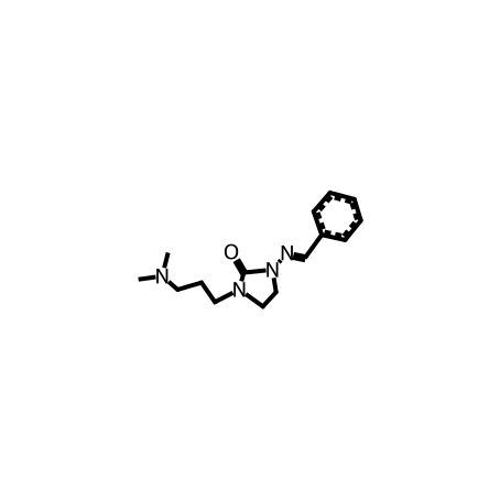 CN(C)CCCN1CCN(N=Cc2ccccc2)C1=O